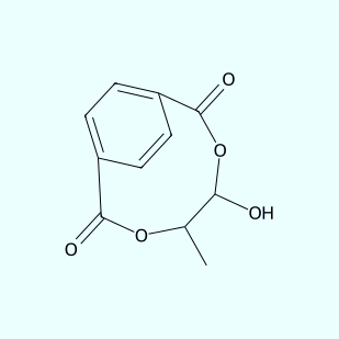 CC1OC(=O)c2ccc(cc2)C(=O)OC1O